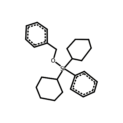 c1ccc(CO[Si](c2ccccc2)(C2CCCCC2)C2CCCCC2)cc1